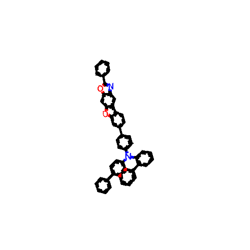 c1ccc(-c2ccc(N(c3ccc(-c4ccc5c(c4)oc4cc6oc(-c7ccccc7)nc6cc45)cc3)c3ccccc3-c3ccccc3)cc2)cc1